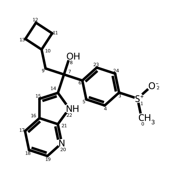 C[S+]([O-])c1ccc(C(O)(CC2CCC2)c2cc3cccnc3[nH]2)cc1